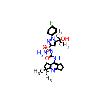 CC(C)(O)c1cc([S@@](N)(=O)=NC(=O)Nc2c3c(nc4c2CCC4(C)C)CCC3)nn1-c1ccc(F)cc1